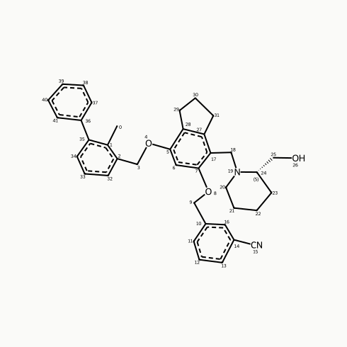 Cc1c(COc2cc(OCc3cccc(C#N)c3)c(CN3CCCC[C@H]3CO)c3c2CCC3)cccc1-c1ccccc1